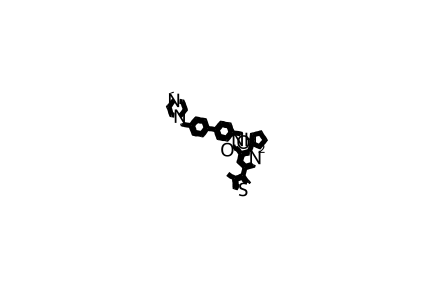 Cc1cscc1-c1cnc(C2(OCc3ccc(-c4ccc(CN5CCN(C)CC5)cc4)cc3)CCCC2)c(C(N)=O)c1